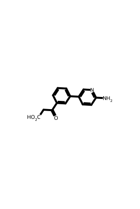 Nc1ccc(-c2cccc(C(=O)CC(=O)O)c2)cn1